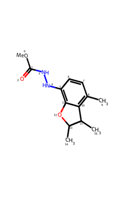 COC(=O)NNc1ccc(C)c2c1OC(C)C2C